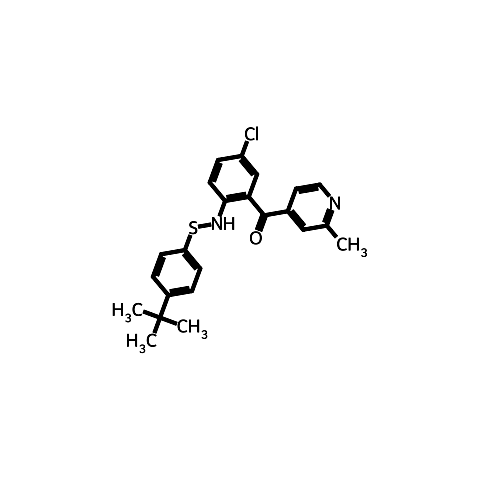 Cc1cc(C(=O)c2cc(Cl)ccc2NSc2ccc(C(C)(C)C)cc2)ccn1